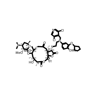 CC[C@H]1OC(=O)[C@H](C)[C@@H](O)[C@H](C)C(O[C@@H]2O[C@H](C)C[C@H](N(C)C)[C@H]2OC)[C@](C)(OC)CCC(=O)[C@H](C)[C@H]2[C@H](SCCN(Cc3c(Cl)cncc3Cl)c3ccc(OC)c(OC4CCCC4)c3)C(=O)O[C@@]21C